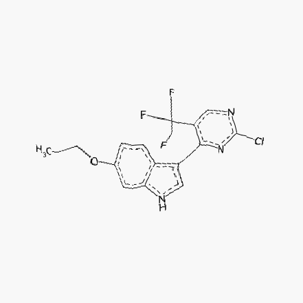 CCOc1ccc2c(-c3nc(Cl)ncc3C(F)(F)F)c[nH]c2c1